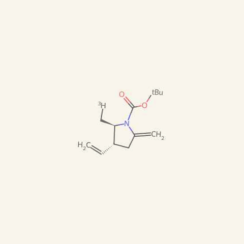 [3H]C[C@@H]1[C@@H](C=C)CC(=C)N1C(=O)OC(C)(C)C